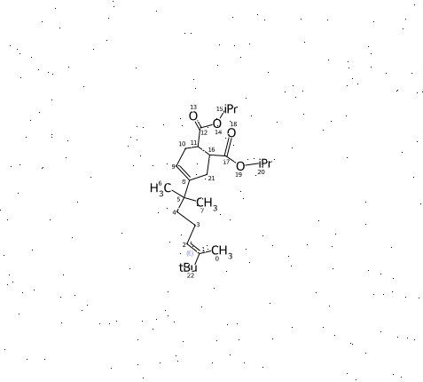 C/C(=C\CCC(C)(C)C1=CCC(C(=O)OC(C)C)C(C(=O)OC(C)C)C1)C(C)(C)C